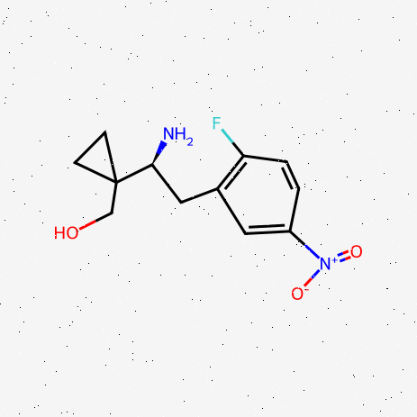 N[C@@H](Cc1cc([N+](=O)[O-])ccc1F)C1(CO)CC1